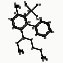 CCCCC(CC)c1cnc(N)c(C(F)(F)F)c1-c1ccncn1